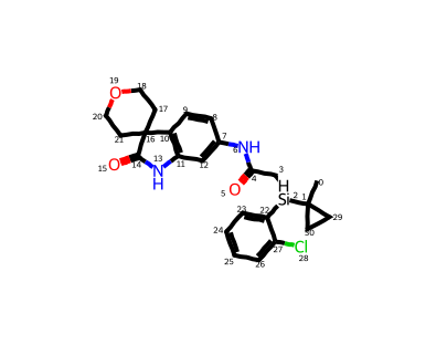 CC1([Si@H](CC(=O)Nc2ccc3c(c2)NC(=O)C32CCOCC2)c2ccccc2Cl)CC1